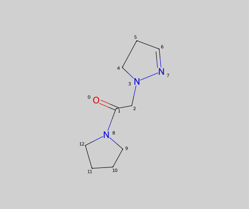 O=C(CN1CCC=N1)N1CCCC1